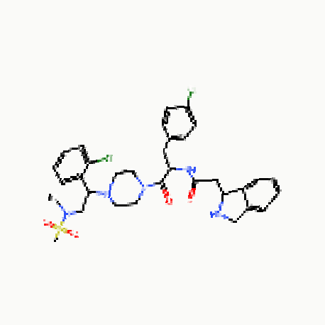 CCN(CC(c1ccccc1Cl)N1CCN(C(=O)C(Cc2ccc(Cl)cc2)NC(=O)CC2NCc3ccccc32)CC1)S(C)(=O)=O